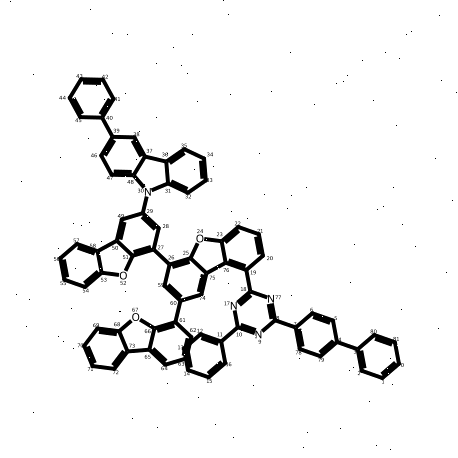 c1ccc(-c2ccc(-c3nc(-c4ccccc4)nc(-c4cccc5oc6c(-c7cc(-n8c9ccccc9c9cc(-c%10ccccc%10)ccc98)cc8c7oc7ccccc78)cc(-c7cccc8c7oc7ccccc78)cc6c45)n3)cc2)cc1